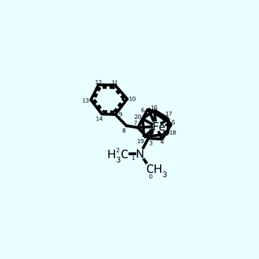 CN(C)[C]12[CH]3[CH]4[CH]5[C]1(Cc1ccccc1)[Fe]45321678[CH]2[CH]1[CH]6[CH]7[CH]28